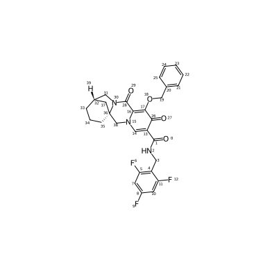 O=C(NCc1c(F)cc(F)cc1F)c1cn2c(c(OCc3ccccc3)c1=O)C(=O)N1C[C@H]3CCC[C@@]1(C3)C2